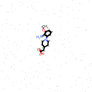 COc1cccc(N2CCC(CC(=O)O)CC2)c1N